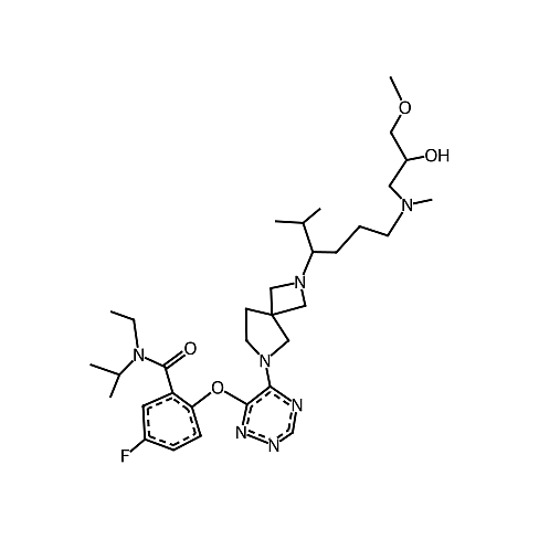 CCN(C(=O)c1cc(F)ccc1Oc1nncnc1N1CCC2(C1)CN(C(CCCN(C)CC(O)COC)C(C)C)C2)C(C)C